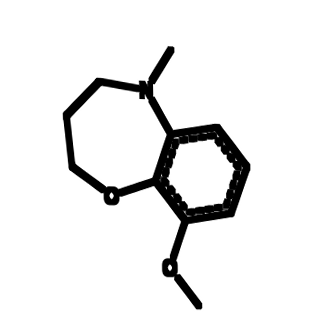 COc1cccc2c1OCCCN2C